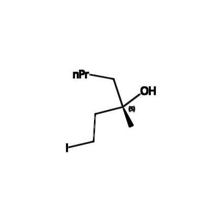 CCCC[C@](C)(O)CCI